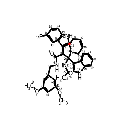 COc1cc(CNC(=O)C(c2c[nH]c3ccc(F)cc23)C(NC(C)=O)(c2c[nH]c3ccccc23)N2CC=CCC2)cc(OC)c1